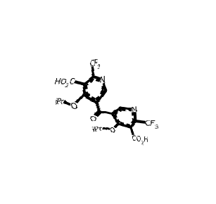 CC(C)Oc1c(C(=O)c2cnc(C(F)(F)F)c(C(=O)O)c2OC(C)C)cnc(C(F)(F)F)c1C(=O)O